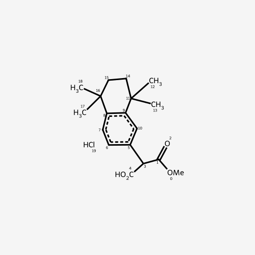 COC(=O)C(C(=O)O)c1ccc2c(c1)C(C)(C)CCC2(C)C.Cl